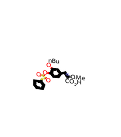 CCCCOc1cc(/C=C(/OC)C(=O)O)ccc1OS(=O)(=O)c1ccccc1